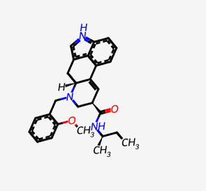 CC[C@@H](C)NC(=O)[C@@H]1C=C2c3cccc4[nH]cc(c34)C[C@H]2N(Cc2ccccc2OC)C1